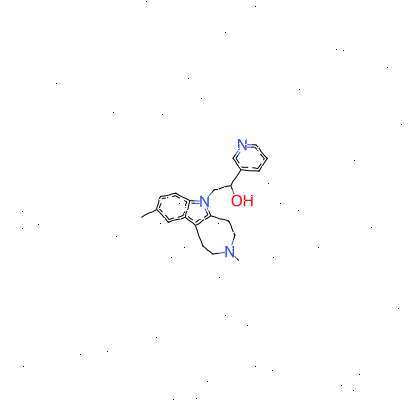 Cc1ccc2c(c1)c1c(n2CC(O)c2cccnc2)CCN(C)CC1